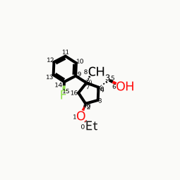 CCO[C@@H]1C[C@@H](CO)[C@](C)(c2ccccc2F)C1